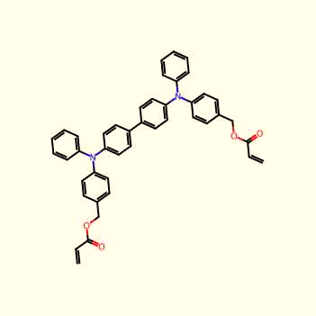 C=CC(=O)OCc1ccc(N(c2ccccc2)c2ccc(-c3ccc(N(c4ccccc4)c4ccc(COC(=O)C=C)cc4)cc3)cc2)cc1